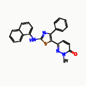 CC(C)n1nc(-c2sc(Nc3cccc4ccccc34)nc2-c2ccccc2)ccc1=O